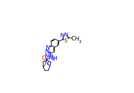 Cc1nnc(-c2ccc3nnc(NC(=O)N4C5CCC4CC(N)C5)cc3c2)s1